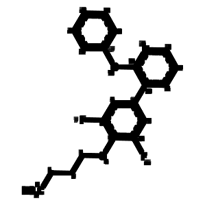 O=C(O)CCCOc1c(F)cc(-c2cccnc2Oc2ccccc2)cc1F